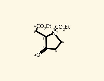 CCOC(=O)CC1C(=O)CCN1C(=O)OCC